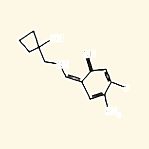 CC1=C/C(=C/NCC2(O)CCC2)C(=N)C=C1F